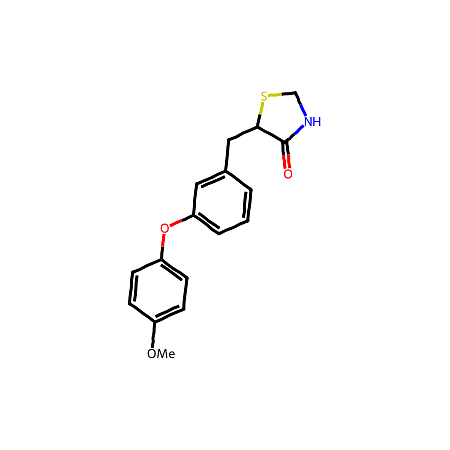 COc1ccc(Oc2cccc(CC3SCNC3=O)c2)cc1